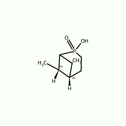 CC1C2[C@@H](C)[C@H]1CCP2(=O)O